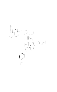 O=C(NC(CNC(=O)[C@H]1C[C@H](Cc2ccc3c(n2)NCCC3)C1)C(=O)O)OCc1cccc(F)c1